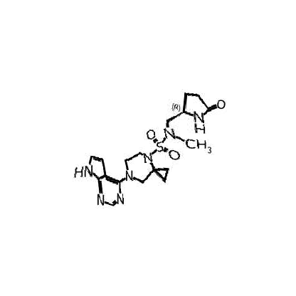 CN(C[C@H]1CCC(=O)N1)S(=O)(=O)N1CCN(c2ncnc3[nH]ccc23)CC12CC2